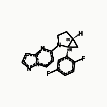 Fc1ccc(F)c([C@@]23C[C@@H]2CCN3c2ccn3nccc3n2)c1